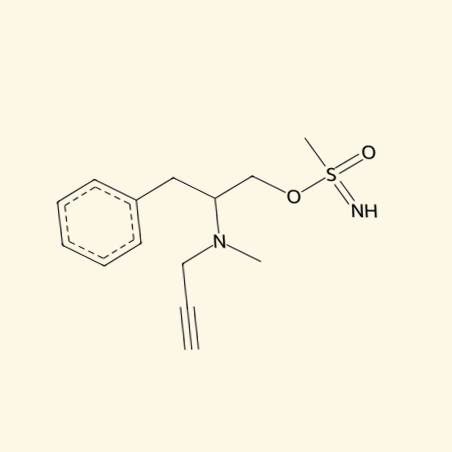 C#CCN(C)C(COS(C)(=N)=O)Cc1ccccc1